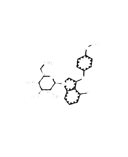 COc1ccc(Sc2cn([C@@H]3O[C@H](CO)[C@@H](O)[C@H](O)[C@H]3O)c3cccc(F)c23)cc1